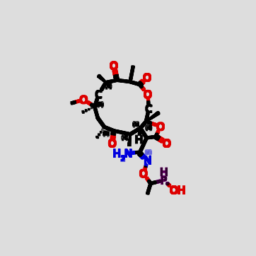 CO[C@@]1(C)C[C@@H](C)C(=O)C(C)C(=O)OC[C@]2(C)OC(=O)C(/C(N)=N/OC(C)PO)[C@@H]2[C@@H](C)C(=O)[C@H](C)C1